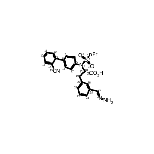 CCCS(=O)(=O)N(c1ccc(-c2ccccc2C#N)cc1)[C@@H](Cc1cccc(C=NN)c1)C(=O)O